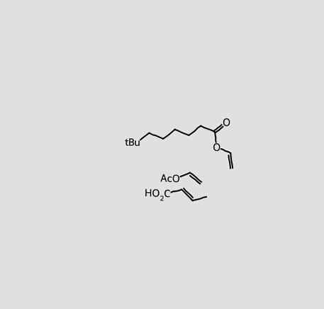 C=COC(=O)CCCCCC(C)(C)C.C=COC(C)=O.CC=CC(=O)O